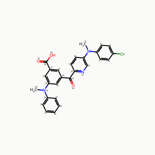 CN(c1ccc(Cl)cc1)c1ccc(C(=O)c2cc(C(=O)O)cc(N(C)c3ccccc3)c2)nc1